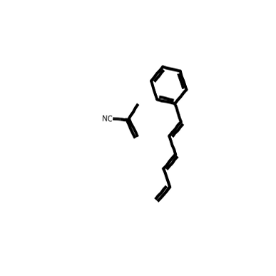 C=C(C)C#N.C=CC=CC=Cc1ccccc1